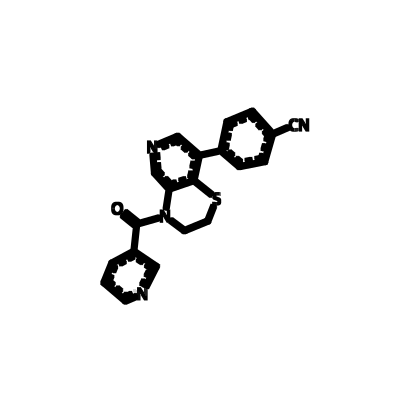 N#Cc1ccc(-c2cncc3c2SCCN3C(=O)c2cccnc2)cc1